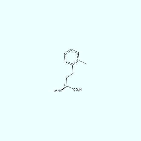 CN[C@@H](CCc1ccccc1C)C(=O)O